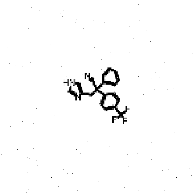 N#CC(Cc1c[nH]cn1)(c1ccccc1)c1ccc(C(F)(F)F)cc1